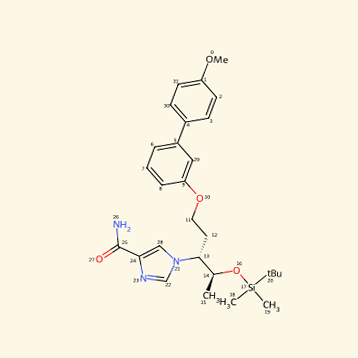 COc1ccc(-c2cccc(OCC[C@H]([C@H](C)O[Si](C)(C)C(C)(C)C)n3cnc(C(N)=O)c3)c2)cc1